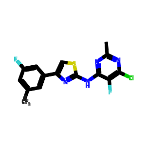 Cc1nc(Cl)c(F)c(Nc2nc(-c3cc(F)cc(C(F)(F)F)c3)cs2)n1